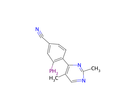 Cc1ncc(C)c(-c2ccc(C#N)cc2P)n1